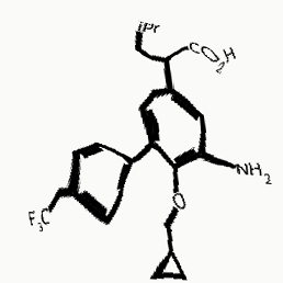 CC(C)CC(C(=O)O)c1cc(N)c(OCC2CC2)c(-c2ccc(C(F)(F)F)cc2)c1